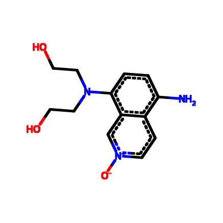 Nc1ccc(N(CCO)CCO)c2c[n+]([O-])ccc12